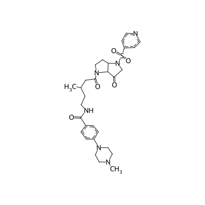 CC(CCNC(=O)c1ccc(N2CCN(C)CC2)cc1)CC(=O)N1CCC2C1C(=O)CN2S(=O)(=O)c1ccncc1